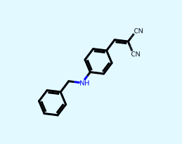 N#CC(C#N)=Cc1ccc(NCc2ccccc2)cc1